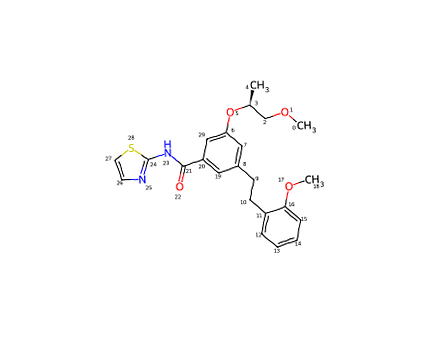 COC[C@H](C)Oc1cc(CCc2ccccc2OC)cc(C(=O)Nc2nccs2)c1